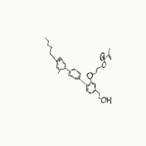 C=C(C)C(=O)OCCOc1cc(CCO)ccc1-c1ccc(-c2ccc(CCCCC)cc2C)cc1